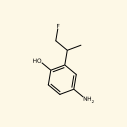 CC(CF)c1cc(N)ccc1O